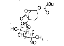 CCC(C)C(=O)O[C@H]1CCC2(C(=O)OC(CC(C)(C)N=O)C(C)(C)O)CC1OC2=O